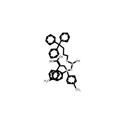 Cc1ccc(S(CC(=C(C#N)C#N)c2ccccc2)(OB(O)OCCCC(c2ccccc2)(c2ccccc2)c2ccccc2)c2ccc(C)cc2)cc1